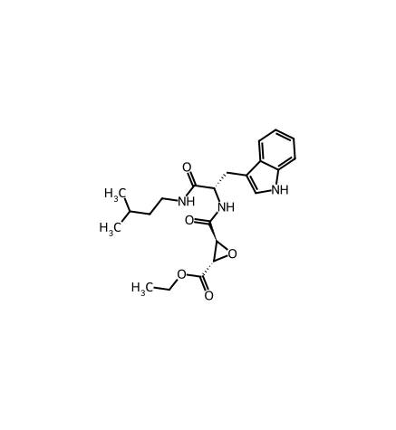 CCOC(=O)[C@H]1O[C@@H]1C(=O)N[C@@H](Cc1c[nH]c2ccccc12)C(=O)NCCC(C)C